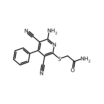 N#Cc1c(N)nc(SCC(N)=O)c(C#N)c1-c1ccccc1